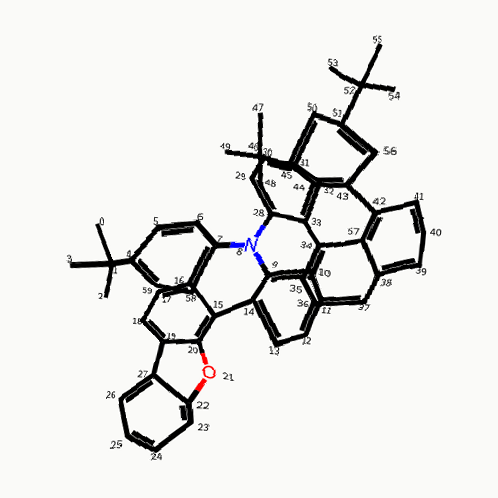 CC(C)(C)c1ccc(N(c2ccccc2-c2cccc3c2oc2ccccc23)c2ccccc2-c2cccc3cccc(-c4cc(C(C)(C)C)cc(C(C)(C)C)c4)c23)cc1